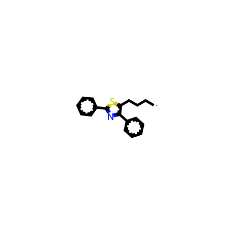 [CH2]CCCc1sc(-c2ccccc2)nc1-c1ccccc1